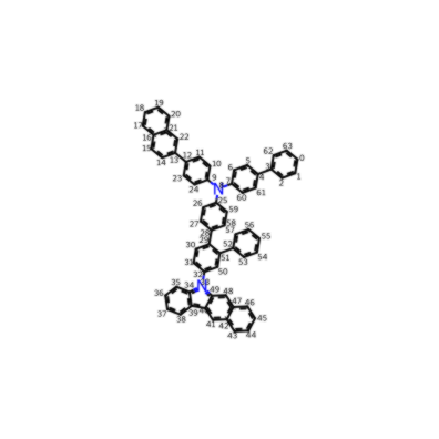 c1ccc(-c2ccc(N(c3ccc(-c4ccc5ccccc5c4)cc3)c3ccc(-c4ccc(-n5c6ccccc6c6cc7ccccc7cc65)cc4-c4ccccc4)cc3)cc2)cc1